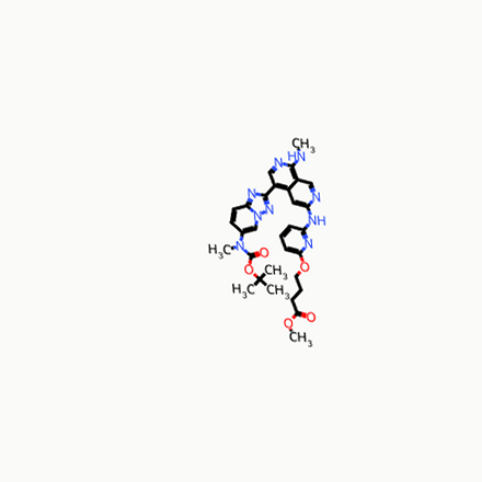 CNc1ncc(-c2nc3ccc(N(C)C(=O)OC(C)(C)C)cn3n2)c2cc(Nc3cccc(OCCCC(=O)OC)n3)ncc12